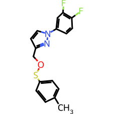 Cc1ccc(SOCc2ccn(-c3ccc(F)c(F)c3)n2)cc1